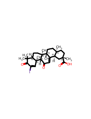 CC1(C)C(=O)C(I)=C[C@]2(C)[C@H]3C(=O)C=C4[C@@H]5C[C@@](C)(C(=O)O)CC[C@]5(C)CC[C@@]4(C)[C@]3(C)CC[C@@H]12